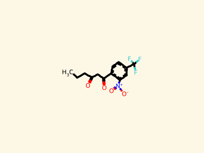 CCCC(=O)CC(=O)c1ccc(C(F)(F)F)cc1[N+](=O)[O-]